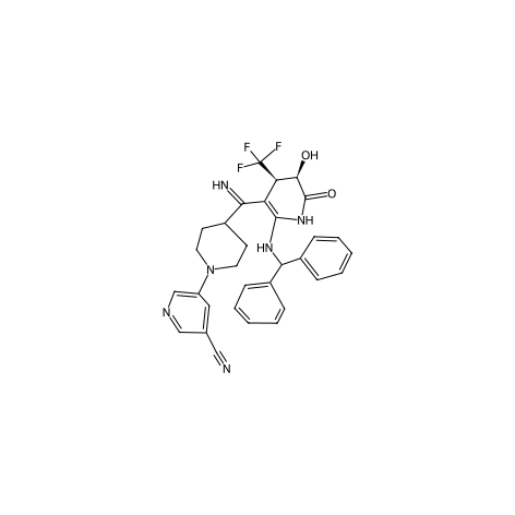 N#Cc1cncc(N2CCC(C(=N)C3=C(NC(c4ccccc4)c4ccccc4)NC(=O)[C@H](O)[C@@H]3C(F)(F)F)CC2)c1